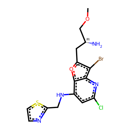 COC[C@H](N)Cc1oc2c(NCc3nccs3)cc(Cl)nc2c1Br